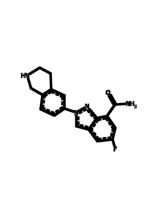 NC(=O)c1cc(F)cc2cn(-c3ccc4c(c3)CCNC4)nc12